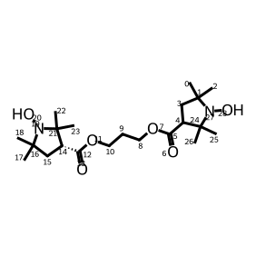 CC1(C)CC(C(=O)OCCCOC(=O)[C@@H]2CC(C)(C)N(O)C2(C)C)C(C)(C)N1O